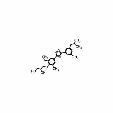 CCc1cc(-c2noc(-c3cc(C)nc(CC(C)C)c3)n2)cc(C)c1OCC(O)CO